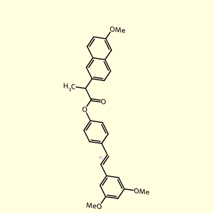 COc1cc(/C=C/c2ccc(OC(=O)C(C)c3ccc4cc(OC)ccc4c3)cc2)cc(OC)c1